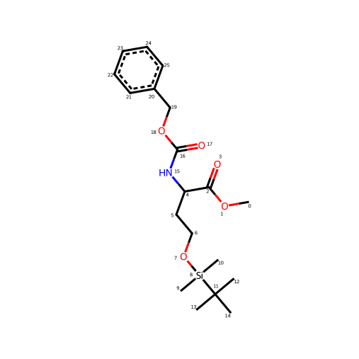 COC(=O)C(CCO[Si](C)(C)C(C)(C)C)NC(=O)OCc1ccccc1